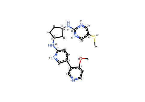 COc1ccncc1-c1ccc(N[C@H]2CC[C@H](Nc3ncc(SC)cn3)C2)nc1